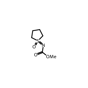 COC(=O)N=S1(=O)CCCC1